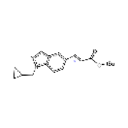 CC(C)(C)OC(=O)/C=C/c1ccc2c(cnn2CC2CC2)c1